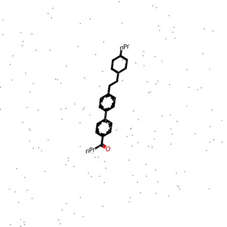 CCCC(=O)c1ccc(-c2ccc(CCC3CCC(CCC)CC3)cc2)cc1